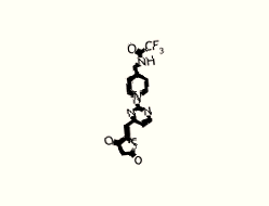 O=C1CC(=O)/C(=C/c2ccnc(N3CCC(CNC(=O)C(F)(F)F)CC3)n2)S1